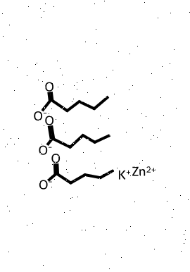 CCCCC(=O)[O-].CCCCC(=O)[O-].CCCCC(=O)[O-].[K+].[Zn+2]